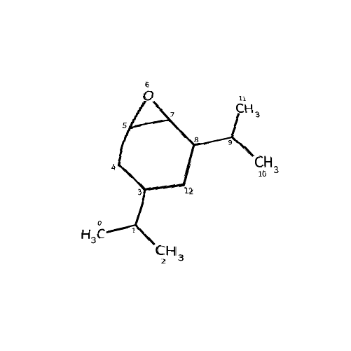 CC(C)C1CC2OC2C(C(C)C)C1